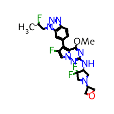 COc1nc(N[C@@H]2CN(C3COC3)CC2(F)F)nn2cc(F)c(-c3ccc4nnn(C[C@H](C)F)c4c3)c12